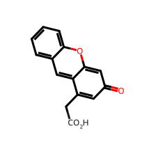 O=C(O)Cc1cc(=O)cc2oc3ccccc3cc1-2